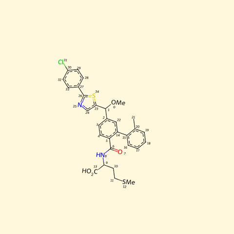 COC(c1ccc(C(=O)NC(CCSC)C(=O)O)c(-c2ccccc2C)c1)c1cnc(-c2ccc(Cl)cc2)s1